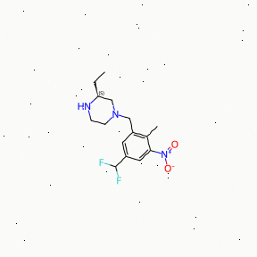 CC[C@H]1CN(Cc2cc(C(F)F)cc([N+](=O)[O-])c2C)CCN1